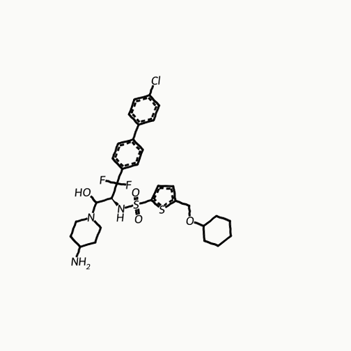 NC1CCN(C(O)[C@H](NS(=O)(=O)c2ccc(COC3CCCCC3)s2)C(F)(F)c2ccc(-c3ccc(Cl)cc3)cc2)CC1